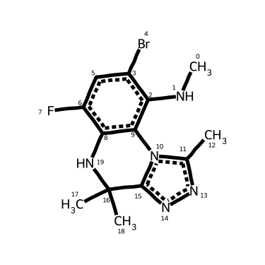 CNc1c(Br)cc(F)c2c1-n1c(C)nnc1C(C)(C)N2